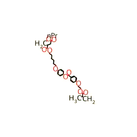 C=C(C)C(=O)OCCOc1ccc(C(=O)Oc2ccc(OCCCCCCOC(=O)C(=C)CC(=O)OCCC)cc2)cc1